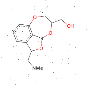 CNCC1OB2OC(CO)COc3cccc1c32